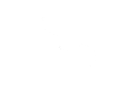 ClCCSC1CCCCC1